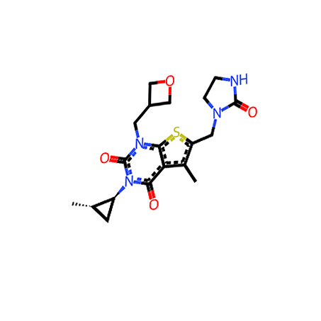 Cc1c(CN2CCNC2=O)sc2c1c(=O)n([C@H]1C[C@@H]1C)c(=O)n2CC1COC1